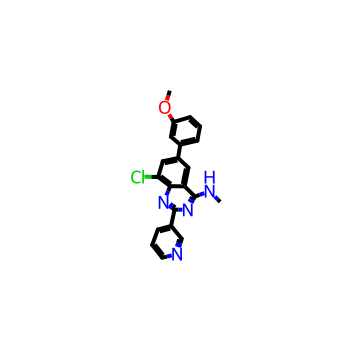 CNc1nc(-c2cccnc2)nc2c(Cl)cc(-c3cccc(OC)c3)cc12